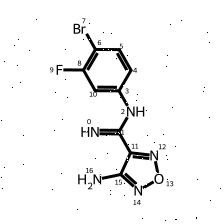 N=C(Nc1ccc(Br)c(F)c1)c1nonc1N